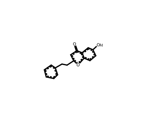 O=c1cc(CCc2ccccc2)oc2ccc(O)cc12